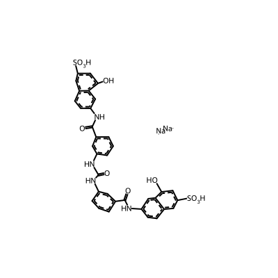 O=C(Nc1cccc(C(=O)Nc2ccc3cc(S(=O)(=O)O)cc(O)c3c2)c1)Nc1cccc(C(=O)Nc2ccc3cc(S(=O)(=O)O)cc(O)c3c2)c1.[Na].[Na]